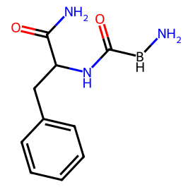 NBC(=O)NC(Cc1ccccc1)C(N)=O